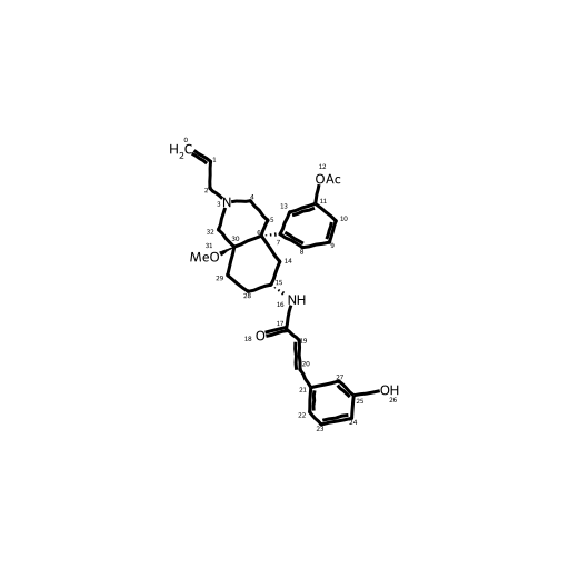 C=CCN1CC[C@@]2(c3cccc(OC(C)=O)c3)C[C@H](NC(=O)C=Cc3cccc(O)c3)CC[C@]2(OC)C1